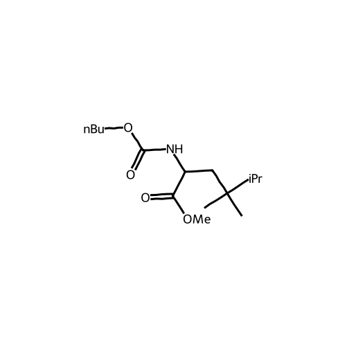 CCCCOC(=O)NC(CC(C)(C)C(C)C)C(=O)OC